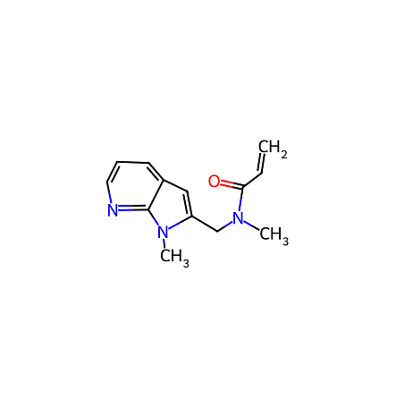 C=CC(=O)N(C)Cc1cc2cccnc2n1C